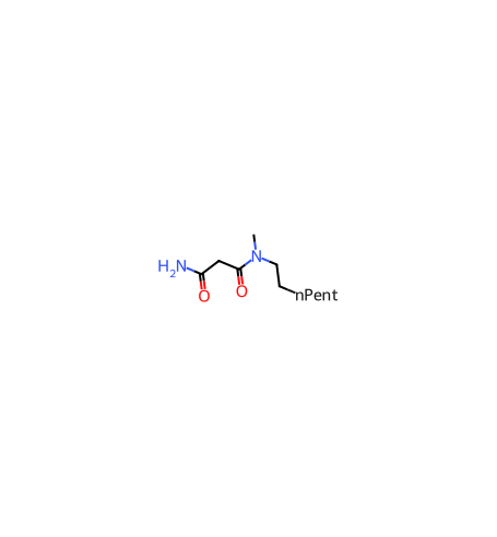 CCCCCCCN(C)C(=O)CC(N)=O